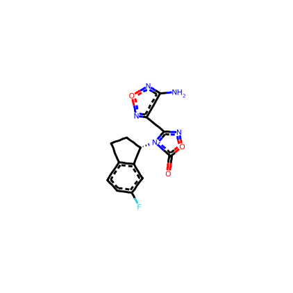 Nc1nonc1-c1noc(=O)n1[C@H]1CCc2ccc(F)cc21